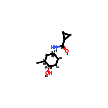 C[C@H]1C[C@H](NC(=O)C2CC2)CC[C@@H]1O